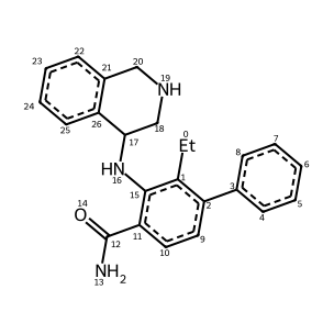 CCc1c(-c2ccccc2)ccc(C(N)=O)c1NC1CNCc2ccccc21